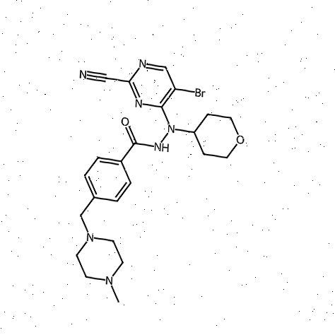 CN1CCN(Cc2ccc(C(=O)NN(c3nc(C#N)ncc3Br)C3CCOCC3)cc2)CC1